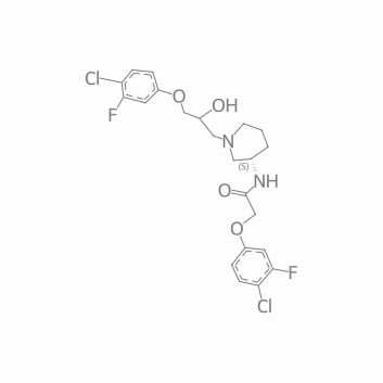 O=C(COc1ccc(Cl)c(F)c1)N[C@H]1CCCN(CC(O)COc2ccc(Cl)c(F)c2)C1